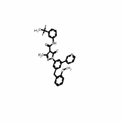 COc1ccccc1Cc1cc(-c2cccnc2)cc(N2N=C(C)C(C(=O)Nc3cccc(C(C)(F)F)c3)C2=O)c1